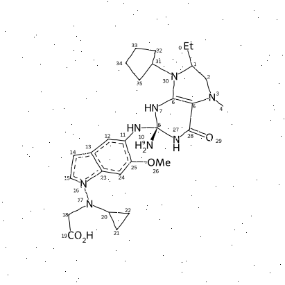 CCC1CN(C)C2=C(N[C@@](N)(Nc3cc4ccn(N(CC(=O)O)C5CC5)c4cc3OC)NC2=O)N1C1CCCC1